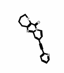 O=c1c2c(nc3cc(C#Cc4ccccn4)ccn13)CCCCC2